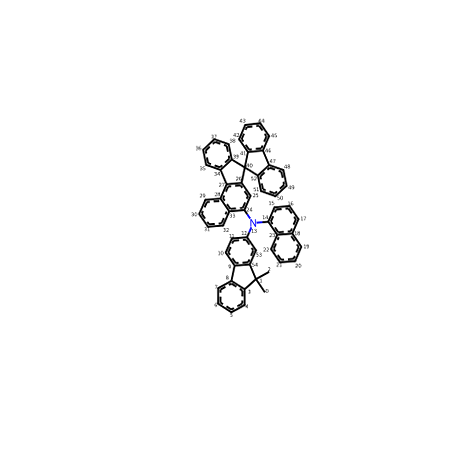 CC1(C)c2ccccc2-c2ccc(N(c3cccc4ccccc34)c3cc4c(c5ccccc35)-c3ccccc3C43c4ccccc4-c4ccccc43)cc21